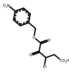 CCC(CC(=O)O)C(=O)C(=O)OCc1ccc([N+](=O)[O-])cc1